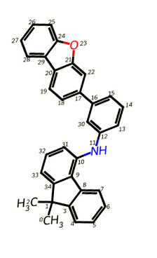 CC1(C)c2ccccc2-c2c(Nc3cccc(-c4ccc5c(c4)oc4ccccc45)c3)cccc21